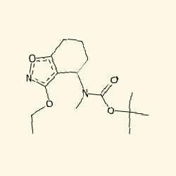 CCOc1noc2c1C(N(C)C(=O)OC(C)(C)C)CCC2